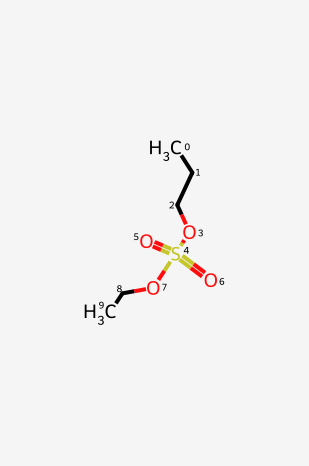 CCCOS(=O)(=O)OCC